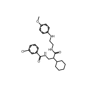 COc1ccc(NCCNC(=O)C(CNC(=O)c2cccc(Cl)c2)C2CCCCC2)cc1